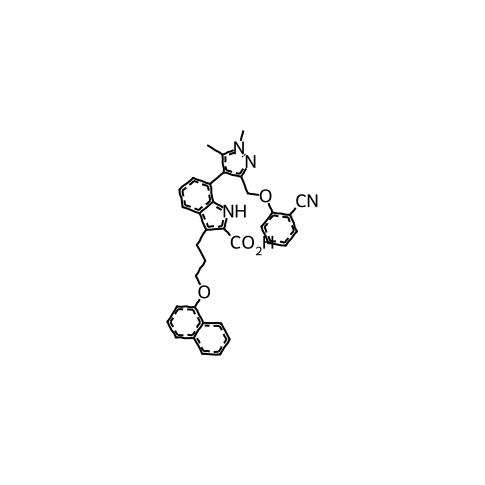 Cc1c(-c2cccc3c(CCCOc4cccc5ccccc45)c(C(=O)O)[nH]c23)c(COc2ccccc2C#N)nn1C